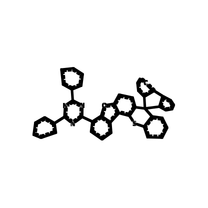 c1ccc(-c2nc(-c3ccccc3)nc(-c3cccc4c3oc3ccc5c(c34)Sc3ccccc3C53c4ccccc4-c4ccccc43)n2)cc1